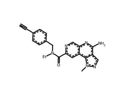 C#Cc1ccc(CN(CC)C(=O)c2cc3c(cn2)nc(N)c2cnn(C)c23)cc1